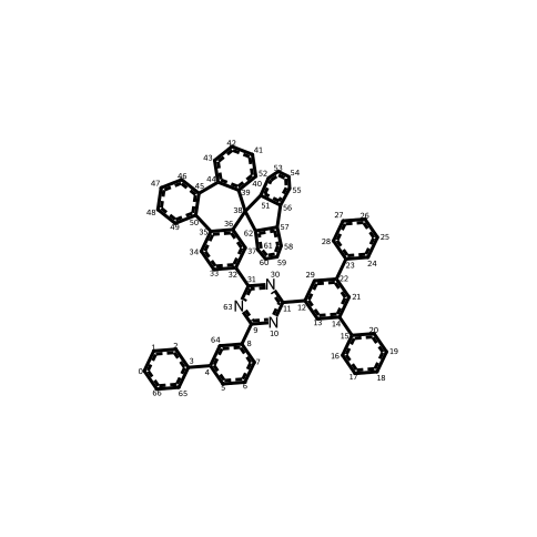 c1ccc(-c2cccc(-c3nc(-c4cc(-c5ccccc5)cc(-c5ccccc5)c4)nc(-c4ccc5c(c4)C4(c6ccccc6-c6ccccc6-5)c5ccccc5-c5ccccc54)n3)c2)cc1